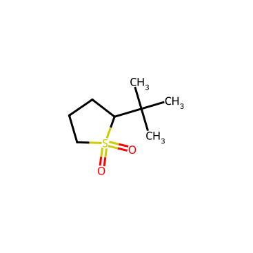 CC(C)(C)C1CCCS1(=O)=O